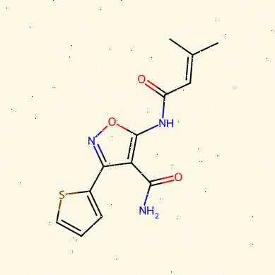 CC(C)=CC(=O)Nc1onc(-c2cccs2)c1C(N)=O